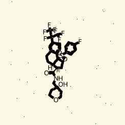 O=C(NCC1(O)CCOCC1)[C@@H]1CC[C@@]2(S(=O)(=O)c3ccc(F)cc3)c3ccc(C(F)(C(F)(F)F)C(F)(F)F)cc3CC[C@@H]12